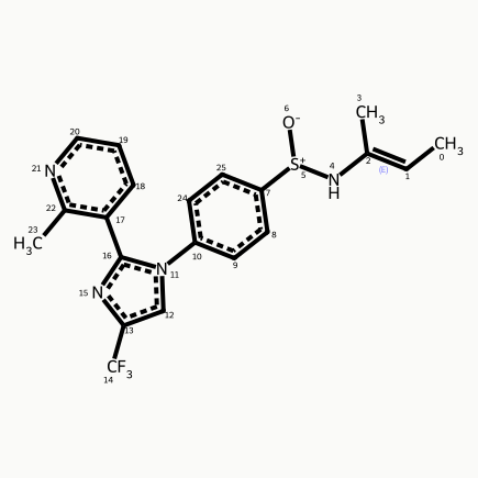 C/C=C(\C)N[S+]([O-])c1ccc(-n2cc(C(F)(F)F)nc2-c2cccnc2C)cc1